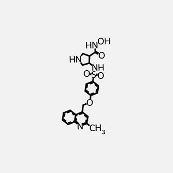 Cc1cc(COc2ccc(S(=O)(=O)NC3CNCC3C(=O)NO)cc2)c2ccccc2n1